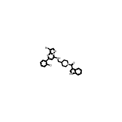 O=C(c1c[nH]c2ccccc12)N1CCC(CNc2cc(-c3ccccc3Cl)nc3c(Br)cnn23)CC1